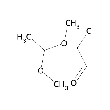 COC(C)OC.O=CCCl